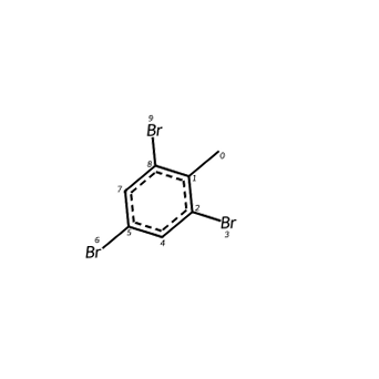 Cc1c(Br)cc(Br)cc1Br